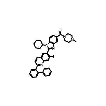 CN1CCN(C(=O)c2ccc3c(c2)nc(-c2cc4ccc(-c5ccccc5-c5ccccc5)nc4cc2F)n3C2CCCCC2)CC1